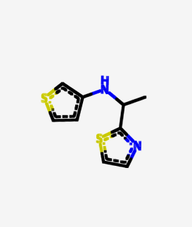 CC(Nc1ccsc1)c1nccs1